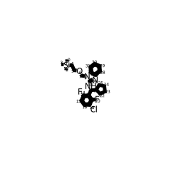 C[Si](C)(C)CCOCn1c(NC(c2c(F)ccc(Cl)c2F)C2CCCC2)nc2ccccc21